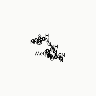 COc1cccc(F)c1-c1nccc(C(=O)Nc2ccc(-c3cnccc3C#N)cc2N2CCN(CC(=O)NCCOCCNc3ccc4c(c3)C(=O)N(C3CCC(=O)NC3=O)C4=O)CC2)n1